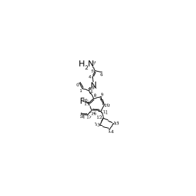 C=C/C(=N\C=C(/C)N)c1ccc(C2CCC2)c(C=C)c1F